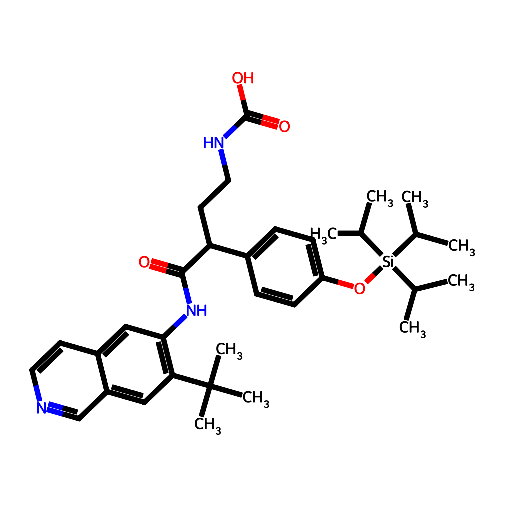 CC(C)[Si](Oc1ccc(C(CCNC(=O)O)C(=O)Nc2cc3ccncc3cc2C(C)(C)C)cc1)(C(C)C)C(C)C